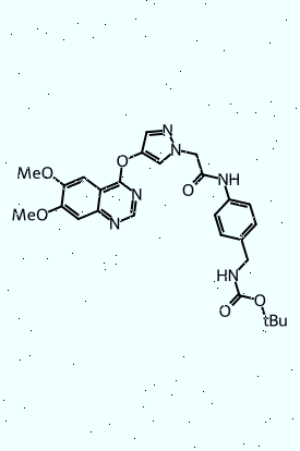 COc1cc2ncnc(Oc3cnn(CC(=O)Nc4ccc(CNC(=O)OC(C)(C)C)cc4)c3)c2cc1OC